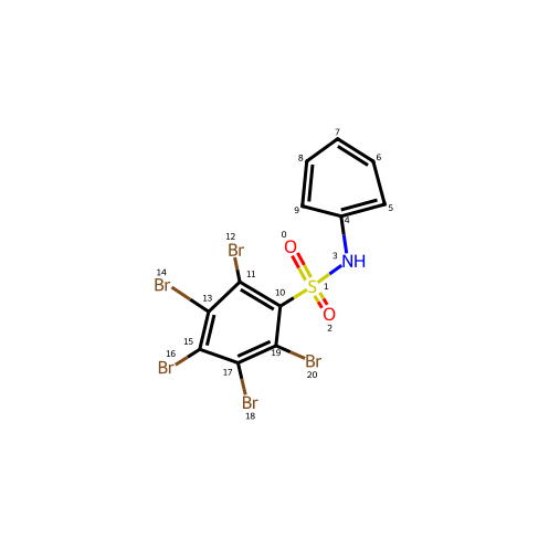 O=S(=O)(Nc1ccccc1)c1c(Br)c(Br)c(Br)c(Br)c1Br